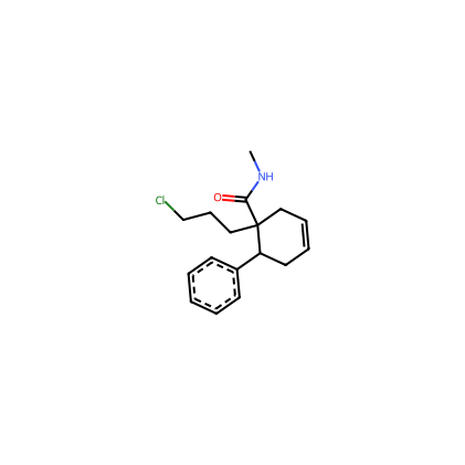 CNC(=O)C1(CCCCl)CC=CCC1c1ccccc1